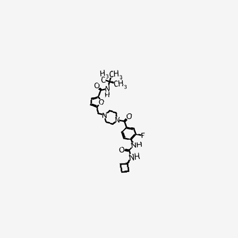 CC(C)(C)NC(=O)c1ccc(CN2CCN(C(=O)c3ccc(NC(=O)NC4CCC4)c(F)c3)CC2)o1